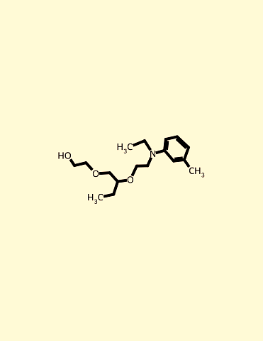 CCC(COCCO)OCCN(CC)c1cccc(C)c1